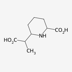 CC(C(=O)O)C1CCCC(C(=O)O)N1